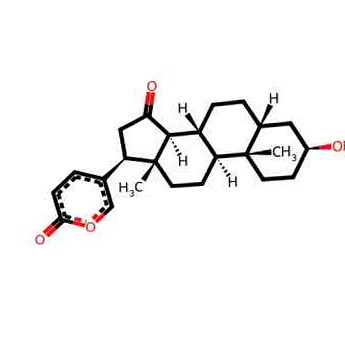 C[C@]12CC[C@H](O)C[C@H]1CC[C@@H]1[C@@H]2CC[C@]2(C)[C@@H](c3ccc(=O)oc3)CC(=O)[C@@H]12